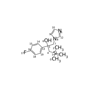 C[Si](C)(C)CC(O)(Cn1ccnc1)c1ccc(F)cc1